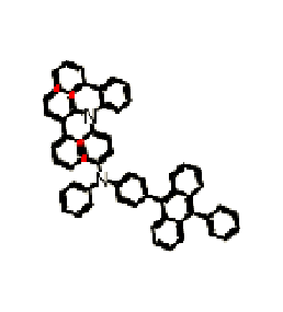 c1ccc(-c2ccccc2N(c2ccc(N(c3ccccc3)c3ccc(-c4c5ccccc5c(-c5ccccc5)c5ccccc45)cc3)cc2)c2ccccc2-c2ccccc2)cc1